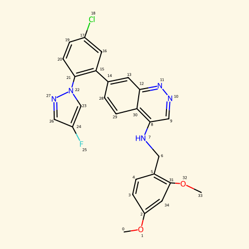 COc1ccc(CNc2cnnc3cc(-c4cc(Cl)ccc4-n4cc(F)cn4)ccc23)c(OC)c1